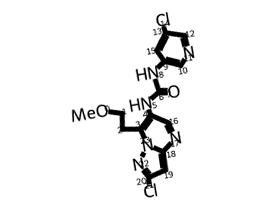 COCCc1c(NC(=O)Nc2cncc(Cl)c2)cnc2cc(Cl)nn12